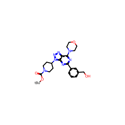 CC(C)(C)OC(=O)N1CCC(n2nnc3c(N4CCOCC4)nc(-c4cccc(CO)c4)nc32)CC1